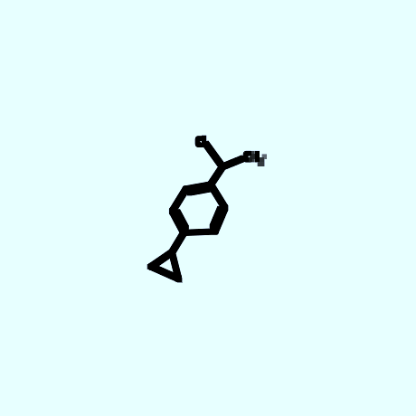 [CH2]C(Cl)c1ccc(C2CC2)cc1